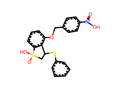 O=[N+](O)c1ccc(COc2cccc3c2C(Sc2ccccc2)CS3([O-])O)cc1